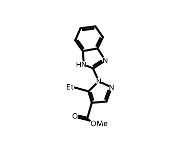 CCc1c(C(=O)OC)cnn1-c1nc2ccccc2[nH]1